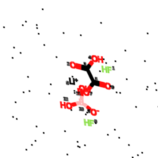 F.F.O=C(O)C(=O)O.[Li+].[O-]B(O)O